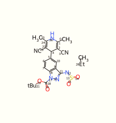 CC1=C(C#N)C(c2ccc3c(c2)c(N=S(=O)=O)nn3C(=O)OC(C)(C)C)C(C#N)=C(C)N1.CCC